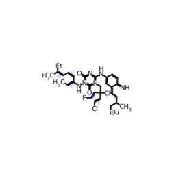 C\C=C(/C=C\C=C(\C)CC)Nn1c(=O)nc(NC2=C/C(=C/CC(C)CC(C)CC)C(=N)C=C2)n(CC(C)(/C=C/F)/C=C/Cl)c1=O